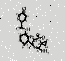 C[C@]1(c2cc(NC(=O)c3ccc(Cl)cn3)ccc2F)N=C(N)C2(CC2)S(=O)(=O)[C@@H]1F